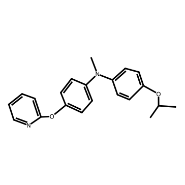 CC(C)Oc1ccc(N(C)c2ccc(Oc3ccccn3)cc2)cc1